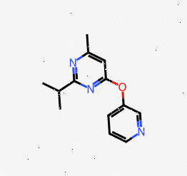 Cc1cc(Oc2cccnc2)nc(C(C)C)n1